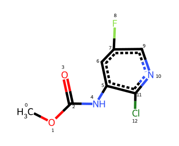 COC(=O)Nc1cc(F)cnc1Cl